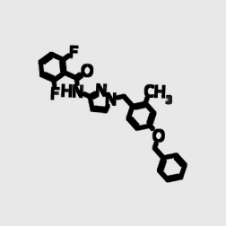 Cc1cc(OCc2ccccc2)ccc1Cn1ccc(NC(=O)c2c(F)cccc2F)n1